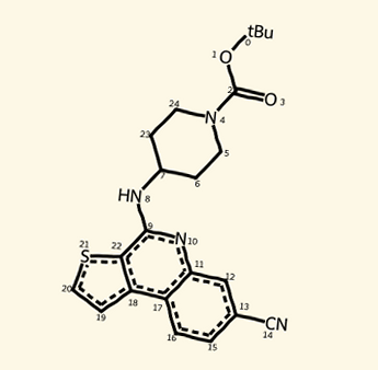 CC(C)(C)OC(=O)N1CCC(Nc2nc3cc(C#N)ccc3c3ccsc23)CC1